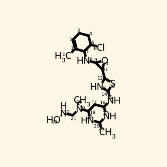 CC1=CCCC(Cl)C1NC1OC1C1NC(NC2CC(N(C)CNO)NC(C)N2)S1